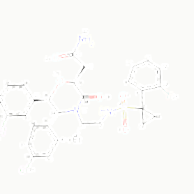 CC[C@@H](CNS(=O)(=O)C1(c2ccccc2F)CC1)N1C(=O)[C@H](CC(N)=O)O[C@H](c2cccc(Cl)c2)[C@H]1c1ccc(Cl)cc1